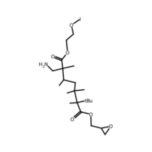 CC(CC(C)(C)C(C)(C(=O)OCC1CO1)C(C)(C)C)C(C)(CN)C(=O)OCCOI